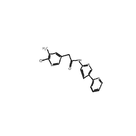 Cc1cc(CC(=O)Nc2ccc(-c3ccccn3)cn2)cnc1Cl